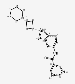 O=C(Nc1ccc2nc([C@H]3C[C@@H](N4CCCCC4)C3)sc2c1)c1cncnc1